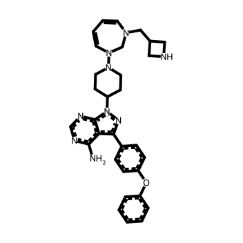 Nc1ncnc2c1c(-c1ccc(Oc3ccccc3)cc1)nn2C1CCN(N2C=CC=CN(CC3CNC3)C2)CC1